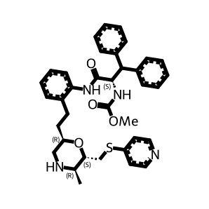 COC(=O)N[C@H](C(=O)Nc1ccccc1CC[C@@H]1CN[C@H](C)[C@@H](CSc2ccncc2)O1)C(c1ccccc1)c1ccccc1